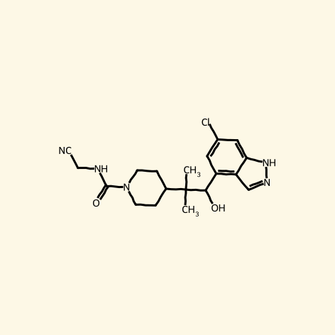 CC(C)(C1CCN(C(=O)NCC#N)CC1)C(O)c1cc(Cl)cc2[nH]ncc12